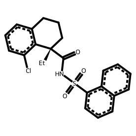 CC[C@]1(C(=O)NS(=O)(=O)c2cccc3ccccc23)CCCc2cccc(Cl)c21